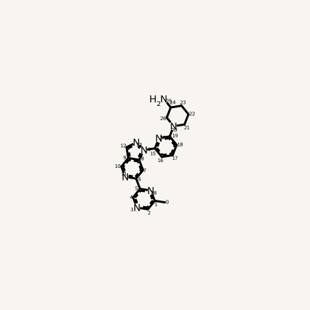 Cc1cncc(-c2cc3c(cn2)cnn3-c2cccc(N3CCCC(N)C3)n2)n1